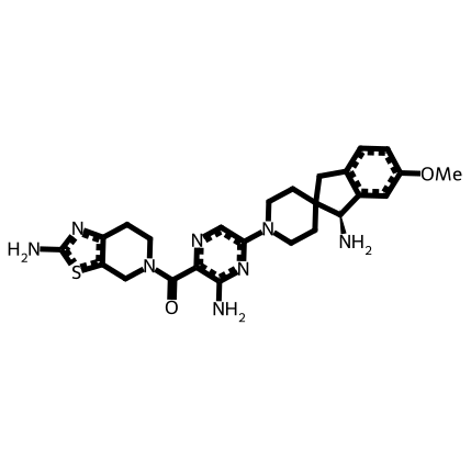 COc1ccc2c(c1)[C@@H](N)C1(CCN(c3cnc(C(=O)N4CCc5nc(N)sc5C4)c(N)n3)CC1)C2